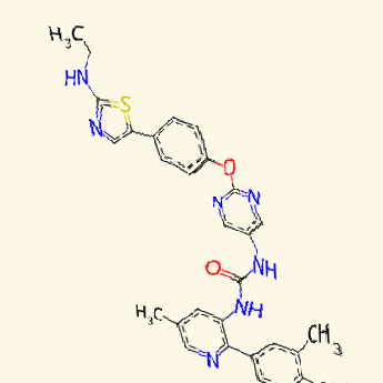 CCNc1ncc(-c2ccc(Oc3ncc(NC(=O)Nc4cc(C)cnc4-c4ccc(C)c(C)c4)cn3)cc2)s1